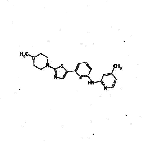 Cc1ccnc(Nc2cccc(-c3cnc(N4CCN(C)CC4)s3)n2)c1